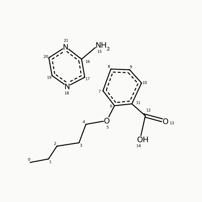 CCCCCOc1ccccc1C(=O)O.Nc1cnccn1